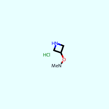 CNOC1CNC1.Cl